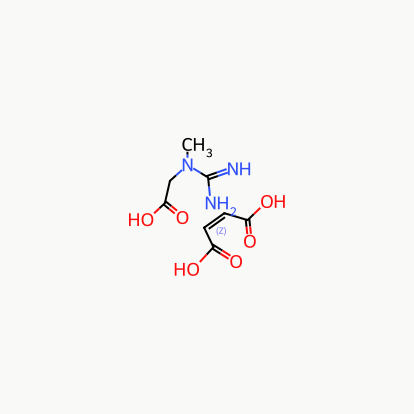 CN(CC(=O)O)C(=N)N.O=C(O)/C=C\C(=O)O